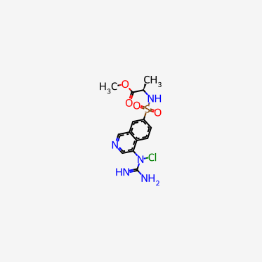 COC(=O)[C@@H](C)NS(=O)(=O)c1ccc2c(N(Cl)C(=N)N)cncc2c1